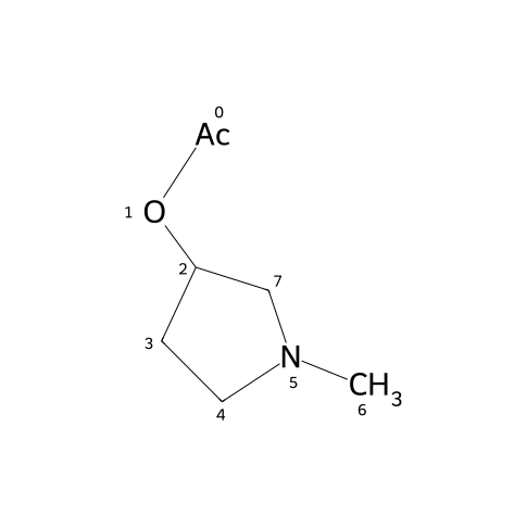 CC(=O)OC1CCN(C)C1